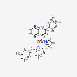 CCC(NCCN(CC)CC)[C@H]1CCCN1C(=O)c1cc(-c2ccc(F)c(F)c2)nc2ccccc12